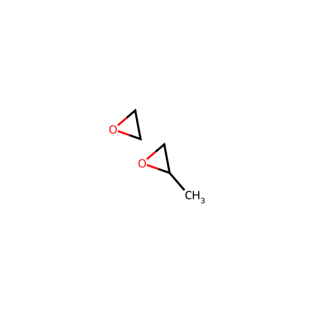 C1CO1.CC1CO1